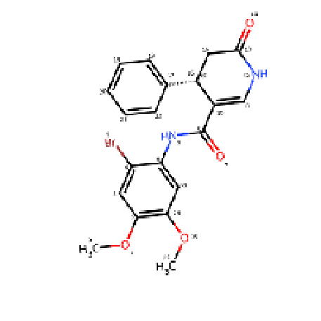 COc1cc(Br)c(NC(=O)C2=CNC(=O)C[C@H]2c2ccccc2)cc1OC